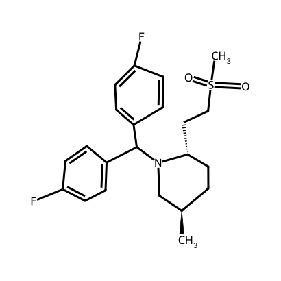 C[C@@H]1CC[C@@H](CCS(C)(=O)=O)N(C(c2ccc(F)cc2)c2ccc(F)cc2)C1